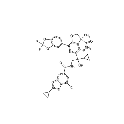 C[C@@]1(C(N)=O)COc2c(-c3ccc4c(c3)OC(F)(F)O4)nc(C(O)(CNC(=O)c3cc(Cl)c4nn(C5CC5)cc4c3)C3CC3)c(F)c21